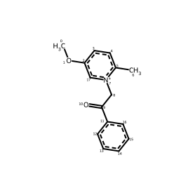 COc1ccc(C)[n+](CC(=O)c2ccccc2)c1